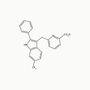 O=C(O)c1cccc(Cc2c(-c3ccccc3)[nH]c3cc(C(F)(F)F)ccc23)n1